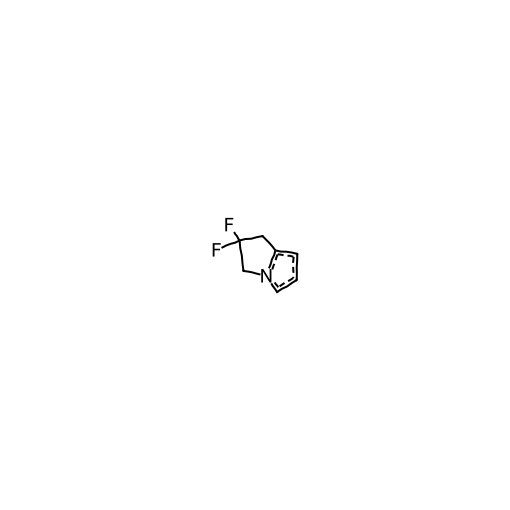 FC1(F)Cc2cccn2C1